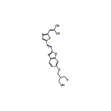 N#CC(C#N)=Cc1ncc(/C=C/c2nc3ccc(OCC(CO)CF)cc3o2)s1